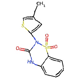 Cc1csc(N2C(=O)Nc3ccccc3S2(=O)=O)c1